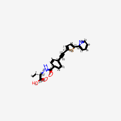 CC[C@H](NC(=O)c1ccc(C#Cc2ccc(-c3ccccn3)s2)cc1)C(=O)O